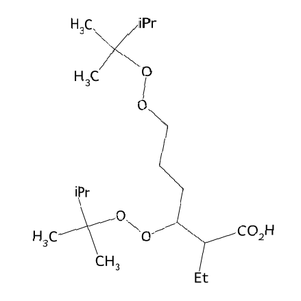 CCC(C(=O)O)C(CCCOOC(C)(C)C(C)C)OOC(C)(C)C(C)C